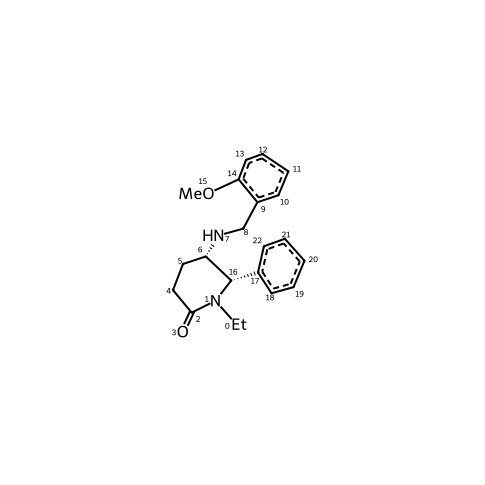 CCN1C(=O)CC[C@H](NCc2ccccc2OC)[C@@H]1c1ccccc1